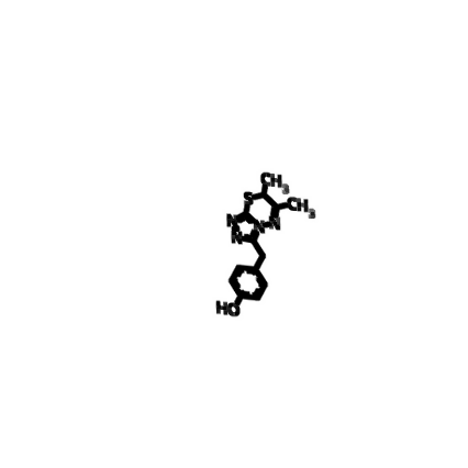 CC1=Nn2c(Cc3ccc(O)cc3)nnc2SC1C